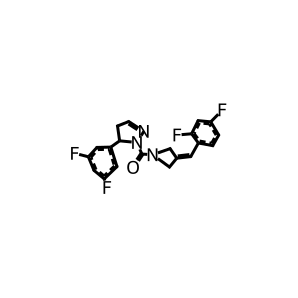 O=C(N1CC(=Cc2ccc(F)cc2F)C1)N1N=CCC1c1cc(F)cc(F)c1